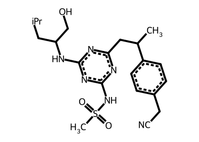 CC(C)CC(CO)Nc1nc(CC(C)c2ccc(CC#N)cc2)nc(NS(C)(=O)=O)n1